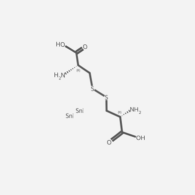 N[C@@H](CSSC[C@H](N)C(=O)O)C(=O)O.[Sn].[Sn]